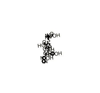 O=C(O)Cn1nnnc1SCC1=C(C(=O)O)N2C(=O)C(NC(=O)C(NC(=O)c3cnc4cccnc4c3O)c3ccc(O)cc3)[C@H]2SC1